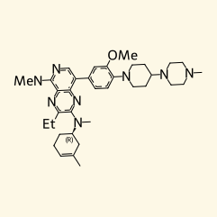 CCc1nc2c(NC)ncc(-c3ccc(N4CCC(N5CCN(C)CC5)CC4)c(OC)c3)c2nc1N(C)[C@@H]1CCC=C(C)C1